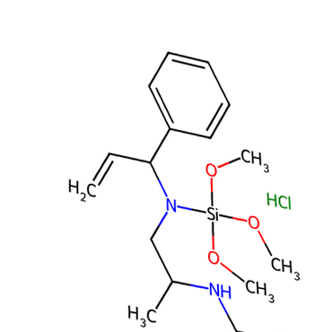 C=CC(c1ccccc1)N(CC(C)NCC)[Si](OC)(OC)OC.Cl